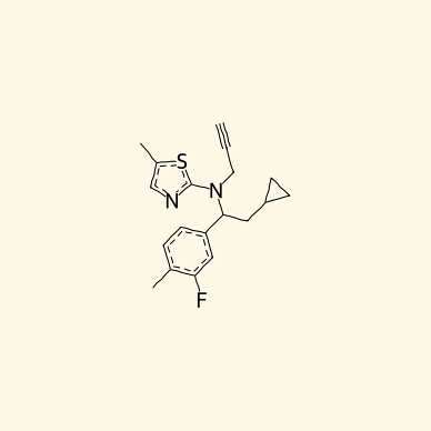 C#CCN(c1ncc(C)s1)C(CC1CC1)c1ccc(C)c(F)c1